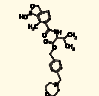 Cc1c(C(=O)NC(C(=O)OCc2ccc(CN3CCOCC3)cc2)C(C)C)ccc2c1B(O)OC2